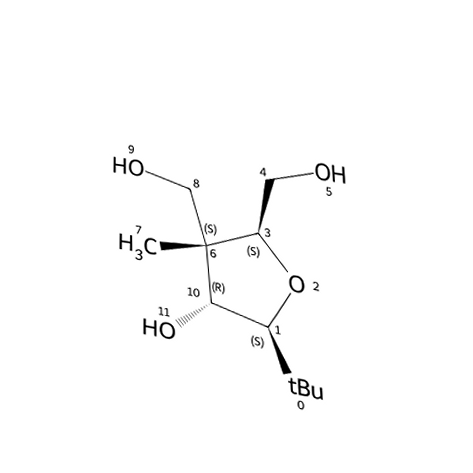 CC(C)(C)[C@@H]1O[C@H](CO)[C@@](C)(CO)[C@H]1O